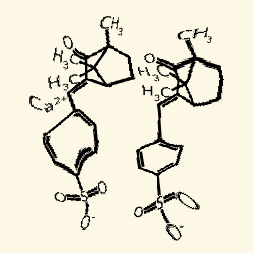 CC12CCC(C(=Cc3ccc(S(=O)(=O)[O-])cc3)C1=O)C2(C)C.CC12CCC(C(=Cc3ccc(S(=O)(=O)[O-])cc3)C1=O)C2(C)C.[Ca+2]